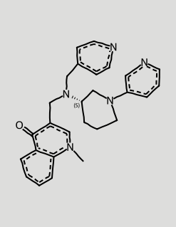 Cn1cc(CN(Cc2ccncc2)[C@H]2CCCN(c3cccnc3)C2)c(=O)c2ccccc21